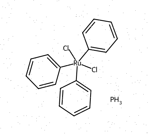 P.[Cl][Ru]([Cl])([c]1ccccc1)([c]1ccccc1)[c]1ccccc1